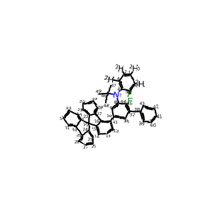 [2H]c1c([2H])c([2H])c(N(c2cc(-c3cccc4c3-c3ccccc3C43c4ccccc4-c4ccccc43)cc(-c3ccccc3)c2F)C(C)(C)C)c(F)c1[2H]